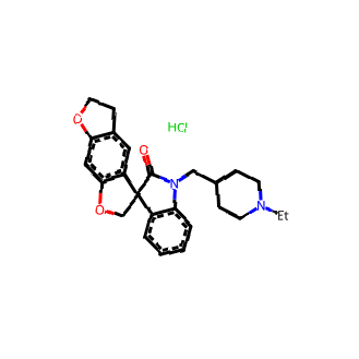 CCN1CCC(CN2C(=O)C3(COc4cc5c(cc43)CCO5)c3ccccc32)CC1.Cl